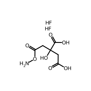 F.F.NOC(=O)CC(O)(CC(=O)O)C(=O)O